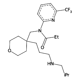 CCC(=O)N(CC1(CCCNCC(C)C)CCOCC1)c1cccc(C(F)(F)F)n1